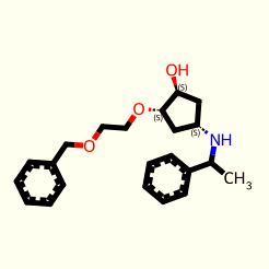 CC(N[C@@H]1C[C@H](OCCOCc2ccccc2)[C@@H](O)C1)c1ccccc1